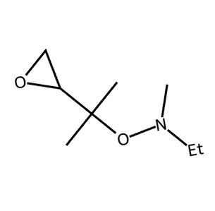 CCN(C)OC(C)(C)C1CO1